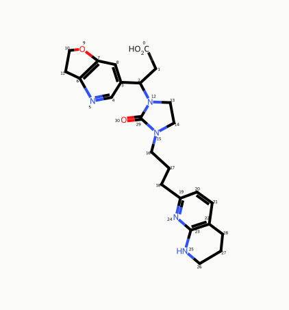 O=C(O)CC(c1cnc2c(c1)OCC2)N1CCN(CCCc2ccc3c(n2)NCCC3)C1=O